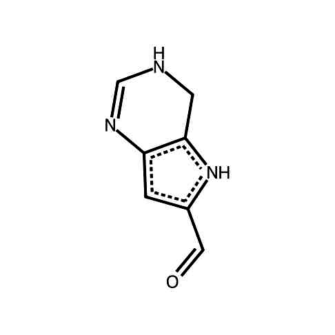 O=Cc1cc2c([nH]1)CNC=N2